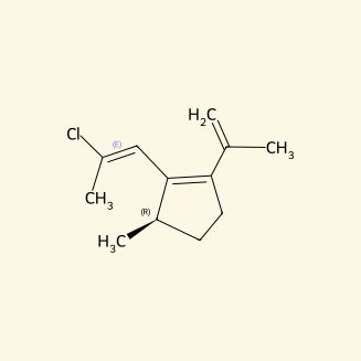 C=C(C)C1=C(/C=C(\C)Cl)[C@H](C)CC1